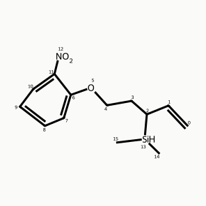 C=CC(CCOc1ccccc1[N+](=O)[O-])[SiH](C)C